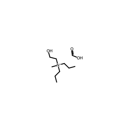 CCC[N+](C)(CCC)CCO.O=CO